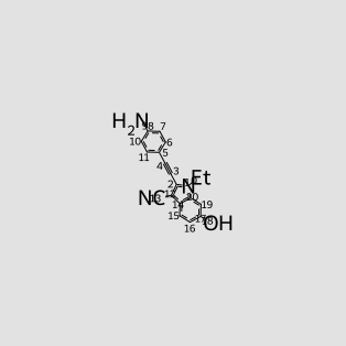 CCn1c(C#Cc2ccc(N)cc2)c(C#N)c2ccc(O)cc21